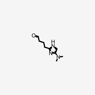 CN(C)c1c[nH]c(CCCC=O)n1